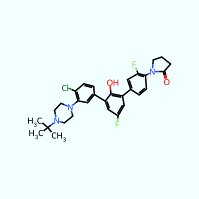 CC(C)(C)N1CCN(c2cc(-c3cc(F)cc(-c4ccc(N5CCCC5=O)c(F)c4)c3O)ccc2Cl)CC1